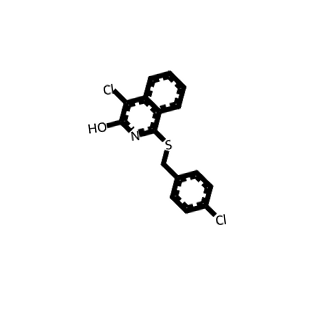 Oc1nc(SCc2ccc(Cl)cc2)c2ccccc2c1Cl